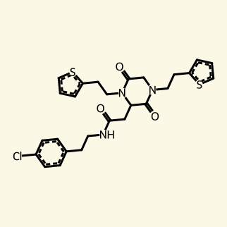 O=C(CC1C(=O)N(CCc2cccs2)CC(=O)N1CCc1cccs1)NCCc1ccc(Cl)cc1